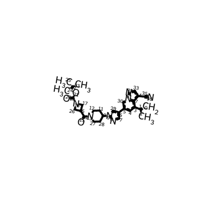 C=C(C)c1cc(-c2cnn(C3CCN(C(=O)C4CN(C(=O)OC(C)(C)C)C4)CC3)c2)cn2ncc(C#N)c12